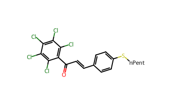 CCCCCSc1ccc(C=CC(=O)c2c(Cl)c(Cl)c(Cl)c(Cl)c2Cl)cc1